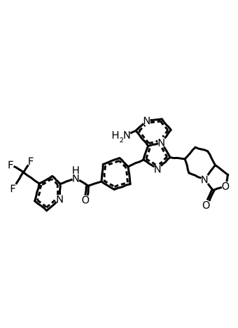 Nc1nccn2c(C3CCC4COC(=O)N4C3)nc(-c3ccc(C(=O)Nc4cc(C(F)(F)F)ccn4)cc3)c12